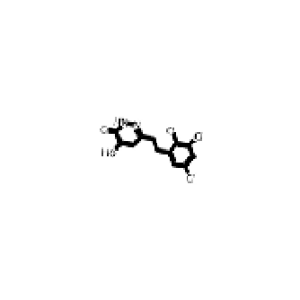 O=c1[nH]nc(CCc2cc(Cl)cc(Cl)c2Cl)cc1O